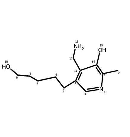 Cc1ncc(CCCCCO)c(CN)c1O